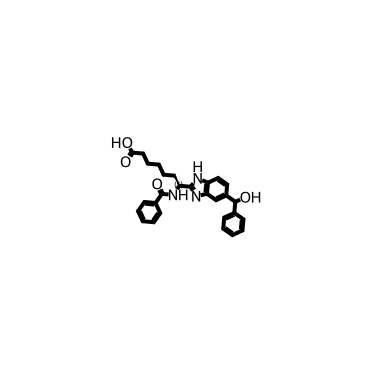 O=C(O)CCCCC[C@H](NC(=O)c1ccccc1)c1nc2cc(C(O)c3ccccc3)ccc2[nH]1